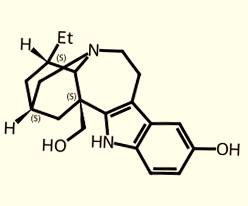 CC[C@H]1C[C@@H]2CN3CCc4c([nH]c5ccc(O)cc45)[C@](CO)(C2)C13